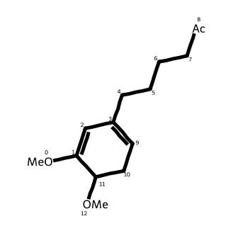 COC1=CC(CCCCC(C)=O)=CCC1OC